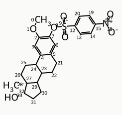 COc1cc2c(cc1OS(=O)(=O)c1ccc([N+](=O)[O-])cc1)CCC1C2CC[C@@]2(C)C1CC[C@@H]2O